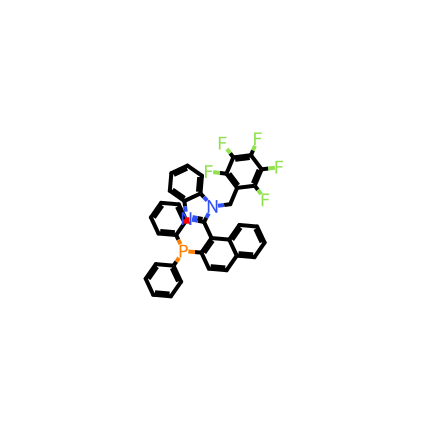 Fc1c(F)c(F)c(Cn2c(-c3c(P(c4ccccc4)c4ccccc4)ccc4ccccc34)nc3ccccc32)c(F)c1F